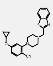 N#Cc1ccc(OC2CC2)cc1N1CCN(Cc2nc3ccccc3s2)CC1